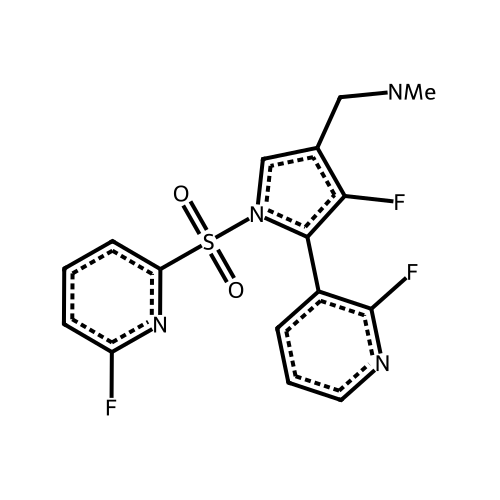 CNCc1cn(S(=O)(=O)c2cccc(F)n2)c(-c2cccnc2F)c1F